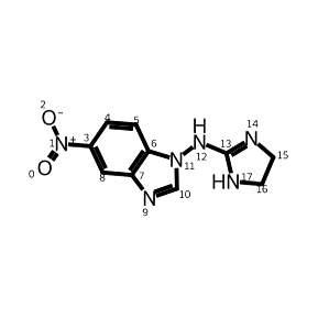 O=[N+]([O-])c1ccc2c(c1)ncn2NC1=NCCN1